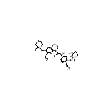 C[C@@H]1CCC[C@H]1Nc1cc(NC(=O)N2CCCc3cc(CN4CCOCC4=O)c(C=O)nc32)ncc1C#N